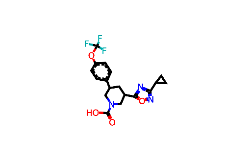 O=C(O)N1CC(c2ccc(OC(F)(F)F)cc2)CC(c2nc(C3CC3)no2)C1